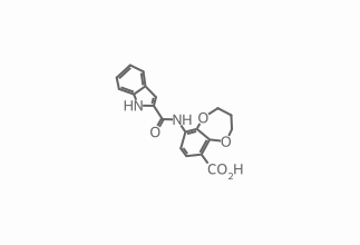 O=C(Nc1ccc(C(=O)O)c2c1OCCCO2)c1cc2ccccc2[nH]1